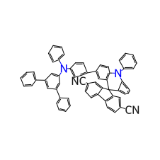 N#Cc1ccc2c(c1)C1(c3cc(C#N)ccc3-2)c2ccccc2N(c2ccccc2)c2ccc(-c3ccc(N(c4ccccc4)c4cc(-c5ccccc5)cc(-c5ccccc5)c4)cc3)cc21